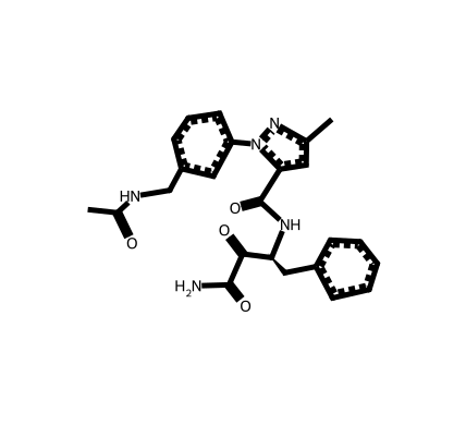 CC(=O)NCc1cccc(-n2nc(C)cc2C(=O)N[C@@H](Cc2ccccc2)C(=O)C(N)=O)c1